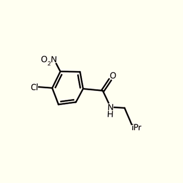 CC(C)CNC(=O)c1ccc(Cl)c([N+](=O)[O-])c1